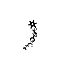 CC(C)=NOCC(=O)N1CCC(c2nc(C3OCc4c(C)c(C)c(C)c(C)c4CO3)cs2)CC1